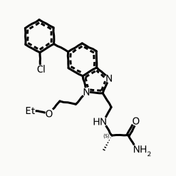 CCOCCn1c(CN[C@@H](C)C(N)=O)nc2ccc(-c3ccccc3Cl)cc21